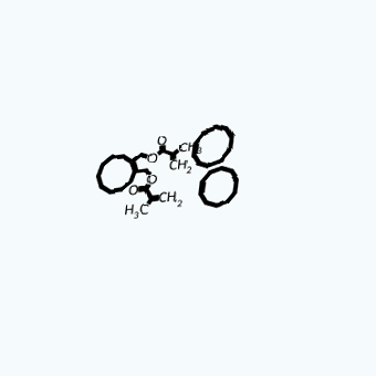 C1=C\CCCCCCCC/1.C1=C\CCCCCCCC/1.C=C(C)C(=O)OC/C1=C(\COC(=O)C(=C)C)CCCCCCCC1